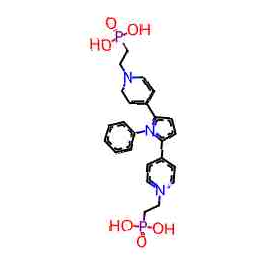 O=P(O)(O)CCN1C=CC(c2ccc(-c3cc[n+](CCP(=O)(O)O)cc3)n2-c2ccccc2)=CC1